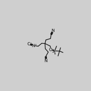 [C-]#[N+]CCC(CCC#N)(CCC#N)CO[Si](C)(C)C(C)(C)C